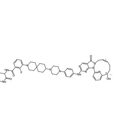 C[C@@]1(O)CC/C=C\Cn2c(=O)c3cnc(Nc4ccc(N5CCN(C6CCC7(CC6)CCN(c6cccc(C(=O)NC8CCC(=O)NC8=O)c6F)CC7)CC5)cc4)nc3n2-c2cccc1n2